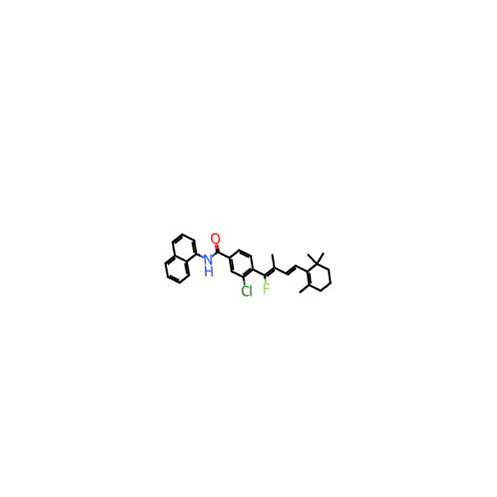 CC1=C(/C=C/C(C)=C(\F)c2ccc(C(=O)Nc3cccc4ccccc34)cc2Cl)C(C)(C)CCC1